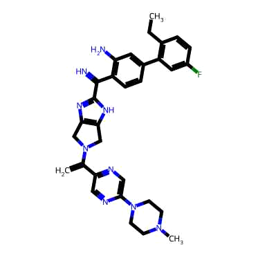 C=C(c1cnc(N2CCN(C)CC2)cn1)N1Cc2nc(C(=N)c3ccc(-c4cc(F)ccc4CC)cc3N)[nH]c2C1